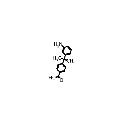 CC(C)(c1ccc(C(=O)O)cc1)c1cccc(N)c1